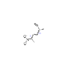 C#C/C(C)=C\C=C(/C)[N+](=O)[O-]